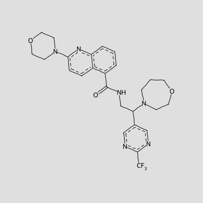 O=C(NCC(c1cnc(C(F)(F)F)nc1)N1CCCOCC1)c1cccc2nc(N3CCOCC3)ccc12